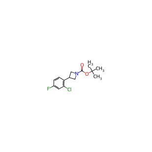 CC(C)(C)OC(=O)N1CC(c2ccc(F)cc2Cl)C1